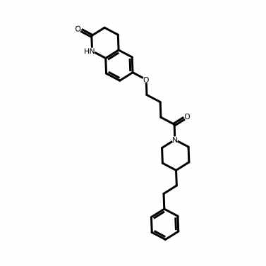 O=C1CCc2cc(OCCCC(=O)N3CCC(CCc4ccccc4)CC3)ccc2N1